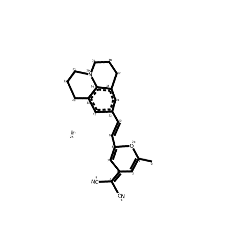 CC1=CC(=C(C#N)C#N)C=C(C=Cc2cc3c4c(c2)CCCN4CCC3)O1.[Ir]